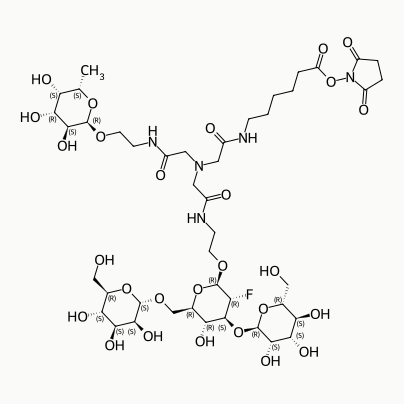 C[C@@H]1O[C@@H](OCCNC(=O)CN(CC(=O)NCCCCCC(=O)ON2C(=O)CCC2=O)CC(=O)NCCO[C@@H]2O[C@H](CO[C@H]3O[C@H](CO)[C@@H](O)[C@H](O)[C@@H]3O)[C@@H](O)[C@H](O[C@H]3O[C@H](CO)[C@@H](O)[C@H](O)[C@@H]3O)[C@H]2F)[C@@H](O)[C@H](O)[C@@H]1O